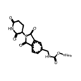 CCCCCCOC(=O)NCc1ccc2c(c1)C(=O)N(C1CCC(=O)NC1=O)C2=O